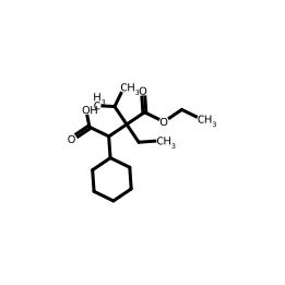 CCOC(=O)C(CC)(C(C)C)C(C(=O)O)C1CCCCC1